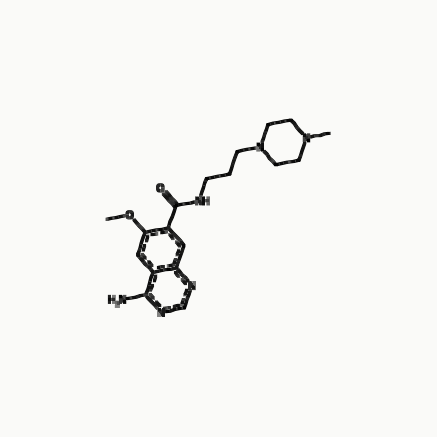 COc1cc2c(N)ncnc2cc1C(=O)NCCCN1CCN(C)CC1